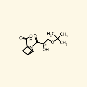 CC(C)(C)OC[C@@H](O)C(=O)N1CC2CC1(C(=O)O)C2